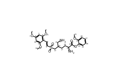 COc1cc(OC)c(C=CS(=O)(=O)CC(CN)CCC(N)C(=O)Oc2ccccc2OC)c(OC)c1